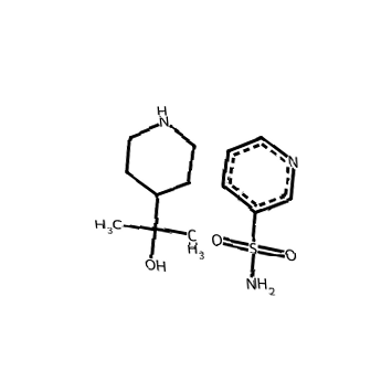 CC(C)(O)C1CCNCC1.NS(=O)(=O)c1cccnc1